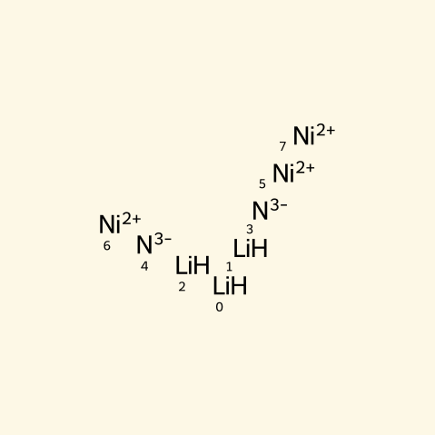 [LiH].[LiH].[LiH].[N-3].[N-3].[Ni+2].[Ni+2].[Ni+2]